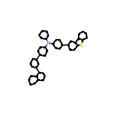 c1ccc(N(c2ccc(-c3cccc(-c4cccc5ccccc45)c3)cc2)c2ccc(-c3ccc4sc5ccccc5c4c3)cc2)cc1